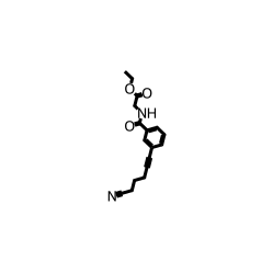 CCOC(=O)CNC(=O)c1cccc(C#CCCCC#N)c1